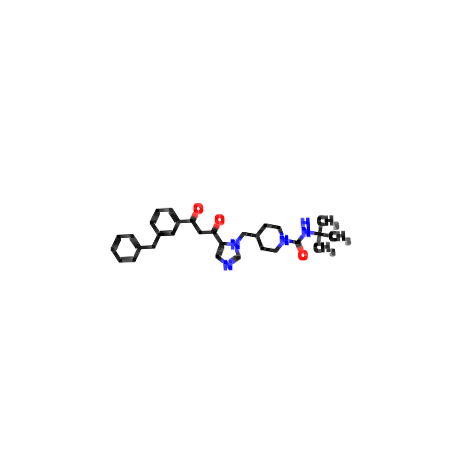 CC(C)(C)NC(=O)N1CCC(Cn2cncc2C(=O)CC(=O)c2cccc(Cc3ccccc3)c2)CC1